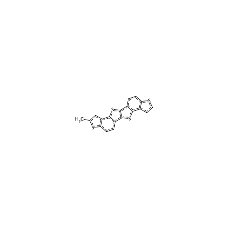 Cc1cc2c(ccc3c2sc2c4ccc5sccc5c4sc32)s1